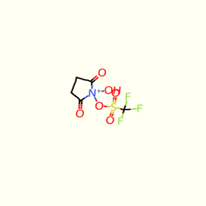 O=C1CCC(=O)[N+]1(O)OS(=O)(=O)C(F)(F)F